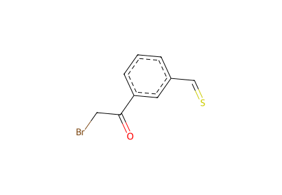 O=C(CBr)c1cccc(C=S)c1